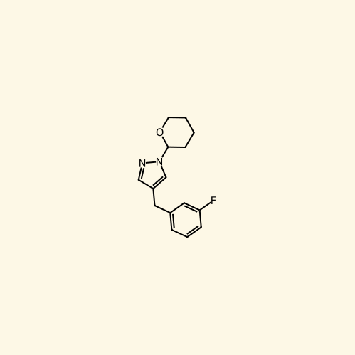 Fc1cccc(Cc2cnn(C3CCCCO3)c2)c1